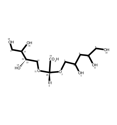 CC[C@@](OCC(O)CC(O)CO)(OC[C@H](O)C(O)CO)C(=O)O